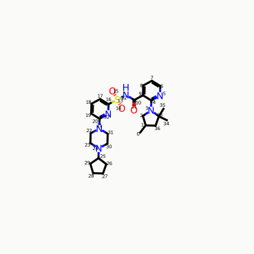 CC1CN(c2ncccc2C(=O)NS(=O)(=O)c2cccc(N3CCN(C4CCCC4)CC3)n2)C(C)(C)C1